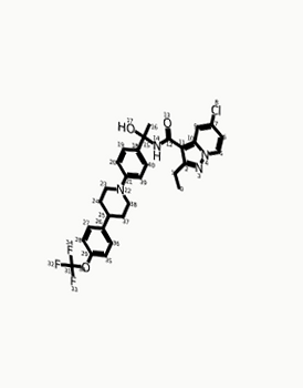 CCc1nn2ccc(Cl)cc2c1C(=O)NC(C)(O)c1ccc(N2CCC(c3ccc(OC(F)(F)F)cc3)CC2)cc1